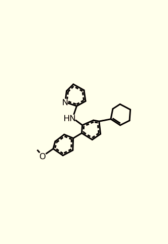 COc1ccc(-c2ccc(C3=CCCCC3)cc2Nc2ccccn2)cc1